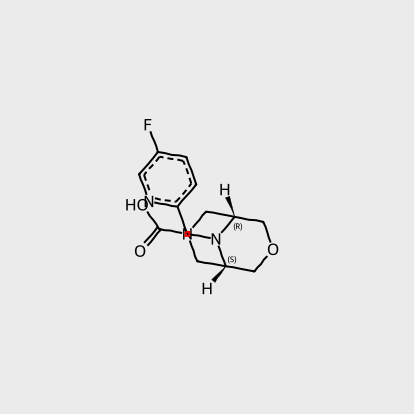 O=C(O)N1C[C@H]2COC[C@@H](C1)N2Cc1ccc(F)cn1